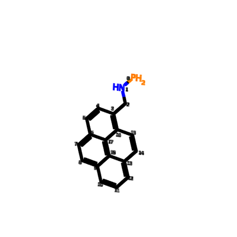 PNCc1ccc2ccc3cccc4ccc1c2c34